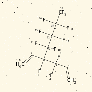 C=CC(F)(F)C(F)(C=C)C(F)(F)C(F)(F)C(F)(F)C(F)(F)F